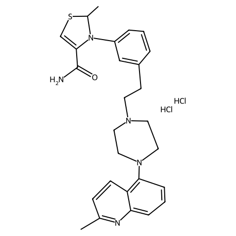 Cc1ccc2c(N3CCN(CCc4cccc(N5C(C(N)=O)=CSC5C)c4)CC3)cccc2n1.Cl.Cl